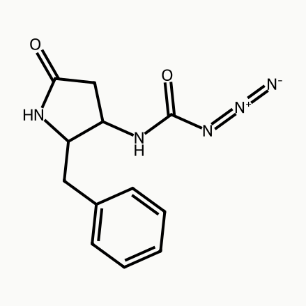 [N-]=[N+]=NC(=O)NC1CC(=O)NC1Cc1ccccc1